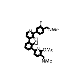 CNCc1ccc(-c2nccc(-c3cccc(-c4ccc(CNC)c(OC)n4)c3Cl)c2Cl)cc1F